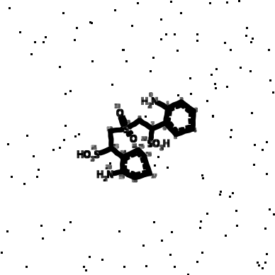 Nc1ccccc1C(CS(=O)(=O)CC(c1ccccc1N)S(=O)(=O)O)S(=O)(=O)O